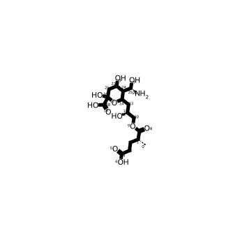 C[C@H](CCC(=O)O)C(=O)OC[C@@H](O)CC1OC(O)(C(=O)O)CC(O)C1[C@@H](N)O